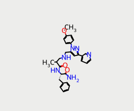 COc1ccc(-n2nc(-c3cccnc3)cc2CNCC(C)C(=O)N[C@@H](Cc2ccccc2)C(N)=O)cc1